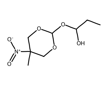 CCC(O)OC1OCC(C)([N+](=O)[O-])CO1